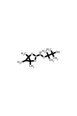 CC1C2(C)OB(BOC(C)(C)C(C)(C)O)OC12C